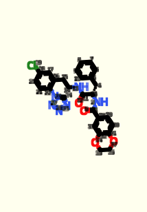 O=C(N[C@@H](Cc1ccccc1)C(=O)NCCc1cc(Cl)ccc1-n1cnnn1)c1ccc2c(c1)OCCO2